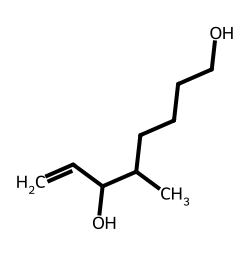 C=CC(O)C(C)CCCCO